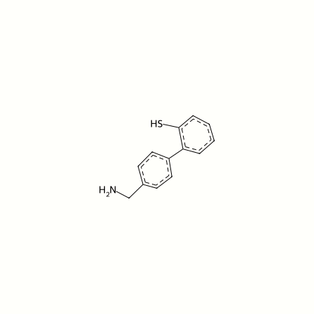 NCc1ccc(-c2ccccc2S)cc1